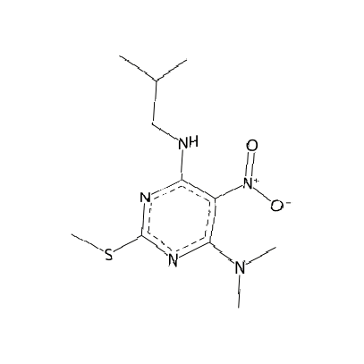 CSc1nc(NCC(C)C)c([N+](=O)[O-])c(N(C)C)n1